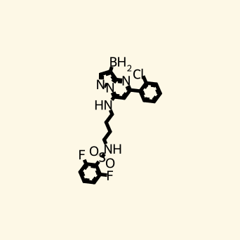 Bc1cnn2c(NCCCCNS(=O)(=O)c3c(F)cccc3F)cc(-c3ccccc3Cl)nc12